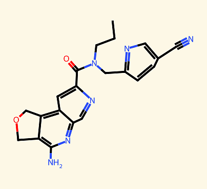 CCCN(Cc1ccc(C#N)cn1)C(=O)c1cc2c3c(c(N)nc2cn1)COC3